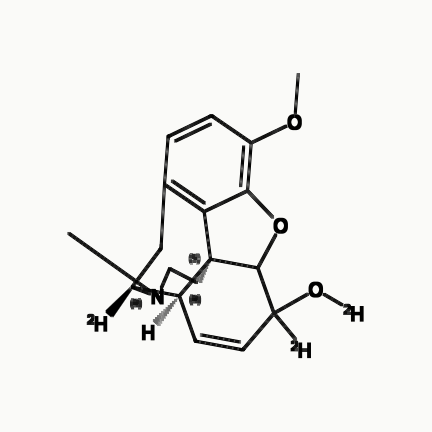 [2H]OC1([2H])C=C[C@@H]2[C@@]34CCN(C)[C@]2([2H])Cc2ccc(OC)c(c23)OC14